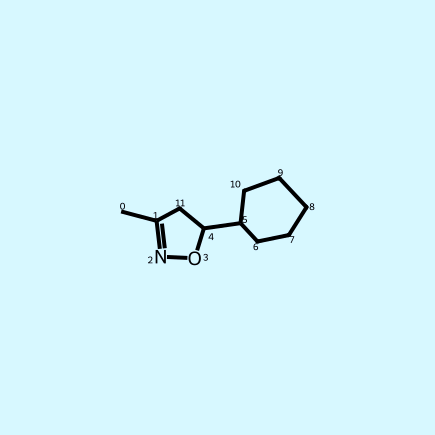 CC1=NOC(C2CCCCC2)C1